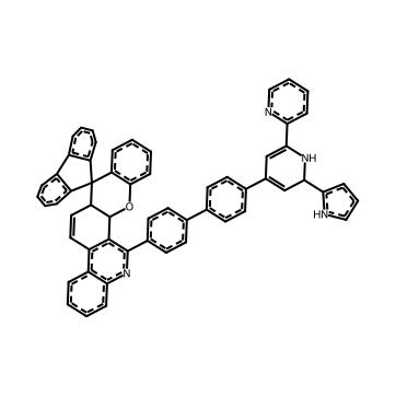 C1=CC2C(Oc3ccccc3C23c2ccccc2-c2ccccc23)c2c(-c3ccc(-c4ccc(C5=CC(c6ccc[nH]6)NC(c6ccccn6)=C5)cc4)cc3)nc3ccccc3c21